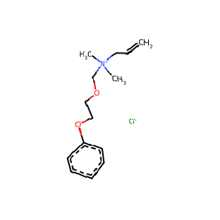 C=CC[N+](C)(C)COCCOc1ccccc1.[Cl-]